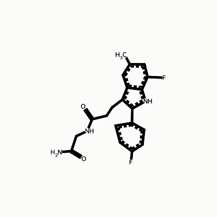 Cc1cc(F)c2[nH]c(-c3ccc(F)cc3)c(CCC(=O)NCC(N)=O)c2c1